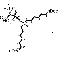 CCCCCCCCCCCCCCCC[N+](C)(C)CCCCCCCCCCCCCCCC.O=C(O)CC(O)(CC(=O)O)C(=O)O